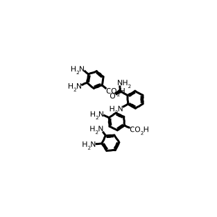 NC(=O)c1ccccc1N.Nc1ccc(C(=O)O)cc1.Nc1ccc(C(=O)O)cc1N.Nc1ccccc1N